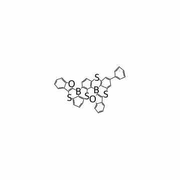 c1ccc(-c2cc3c4c(c2)Sc2c(oc5ccccc25)B4c2c(ccc4c2Sc2cccc5c2B4c2oc4ccccc4c2S5)S3)cc1